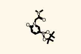 CN(C)C(=O)Cn1cc(B2OC(C)(C)C(C)(C)O2)ccc1=O